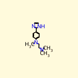 CN(C)CCN(C)c1ccc(-c2ncc[nH]2)cc1